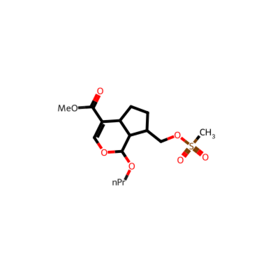 CCCOC1OC=C(C(=O)OC)C2CCC(COS(C)(=O)=O)C12